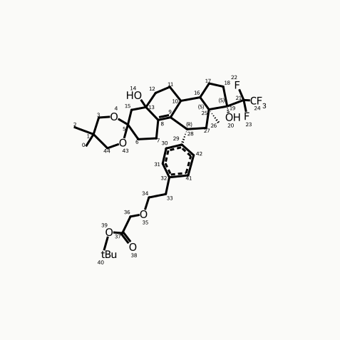 CC1(C)COC2(CCC3=C4C(CCC3(O)C2)C2CC[C@@](O)(C(F)(F)C(F)(F)F)[C@@]2(C)C[C@@H]4c2ccc(CCOCC(=O)OC(C)(C)C)cc2)OC1